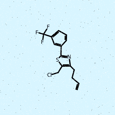 C=CCCc1nc(-c2cccc(C(F)(F)F)c2)sc1CCl